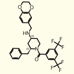 O=C(c1cc(C(F)(F)F)cc(C(F)(F)F)c1)N1CC[C@H](NCc2ccc3c(c2)OCCO3)C[C@@H]1Cc1ccccc1